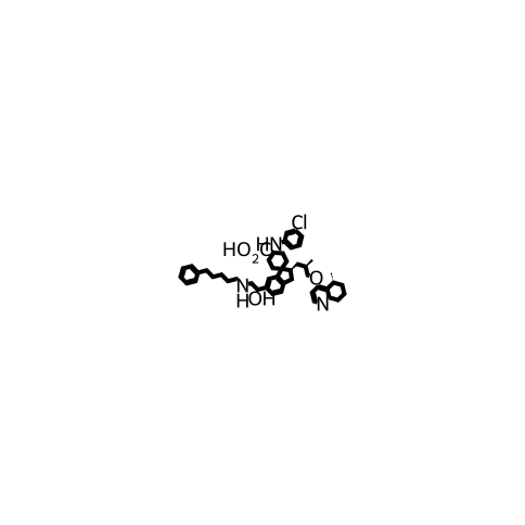 C[C@@H](COc1ccnc2c1[C@H](C)CCC2)C[C@H]1Cc2ccc([C@@H](O)CNCCCCCc3ccccc3)cc2C12CCC(Nc1cccc(Cl)c1)(C(=O)O)CC2